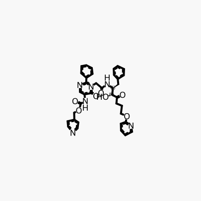 O=C(Cn1c(-c2ccccc2)ncc(NC(=O)OCc2ccncc2)c1=O)N[C@@H](Cc1ccccc1)[C@@H](O)C(=O)CCCOc1ccccn1